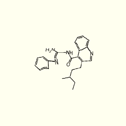 CCC(C)CCc1cnc2ccccc2c1C(=O)NC(N)=Nc1ccccc1